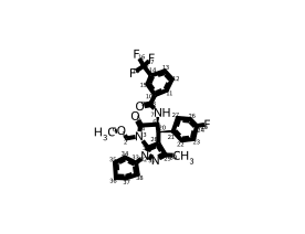 COCN1C(=O)[C@@H](NC(=O)c2cccc(C(F)(F)F)c2)[C@@H](c2ccc(F)cc2)c2c(C)nn(-c3ccccc3)c21